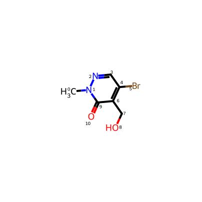 Cn1ncc(Br)c(CO)c1=O